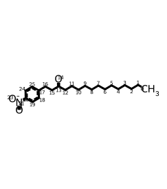 CCCCCCCCCCCCCC(=O)CCc1ccc([N+](=O)[O-])cc1